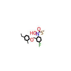 CCc1ccc(OCc2cc(F)ccc2N(O)C(=O)SC)c(C)c1